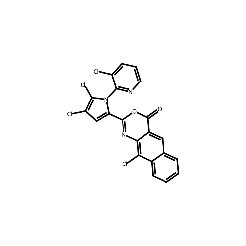 O=c1oc(-c2cc(Cl)c(Cl)n2-c2ncccc2Cl)nc2c(Cl)c3ccccc3cc12